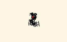 O=P(O)(O)NS(=O)(=O)c1cncc(-c2nc(N3Cc4cccnc4C3)c3c(-c4ccccc4)ccn3n2)c1